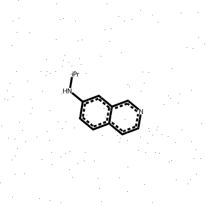 CC(C)Nc1ccc2ccncc2c1